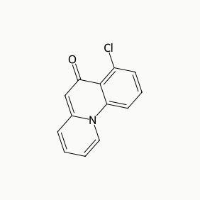 O=c1cc2ccccn2c2cccc(Cl)c12